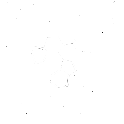 CC(C)(C)OC(=O)N1CCc2ccccc2C1n1ccc2ccccc21